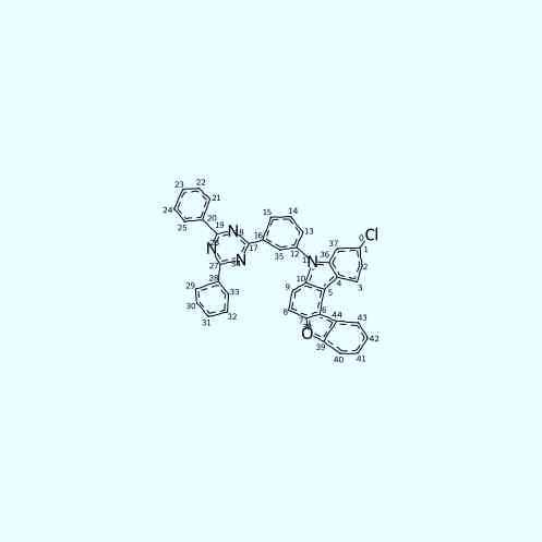 Clc1ccc2c3c4c(ccc3n(-c3cccc(-c5nc(-c6ccccc6)nc(-c6ccccc6)n5)c3)c2c1)oc1ccccc14